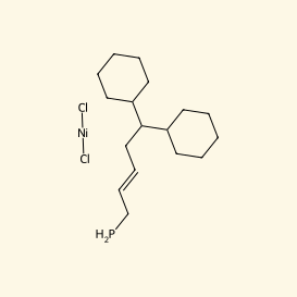 PCC=CCC(C1CCCCC1)C1CCCCC1.[Cl][Ni][Cl]